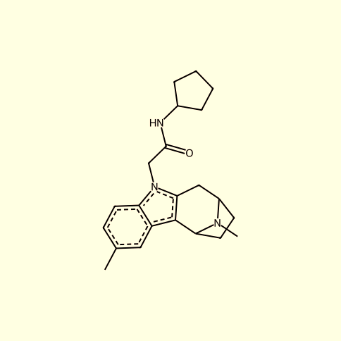 Cc1ccc2c(c1)c1c(n2CC(=O)NC2CCCC2)CC2CCC1N2C